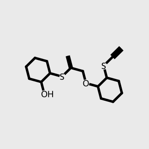 C#CSC1CCCCC1OCC(=C)SC1CCCCC1O